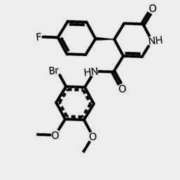 COc1cc(Br)c(NC(=O)C2=CNC(=O)C[C@@H]2C2C=CC(F)=CC2)cc1OC